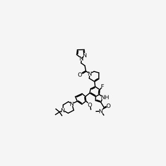 COc1cc(N2CCN(C(C)(C)C)CC2)ccc1-c1cc(C2=CCCN(C(=O)CCn3cccn3)C2)c(F)c2[nH]c(C(=O)N(C)C)cc12